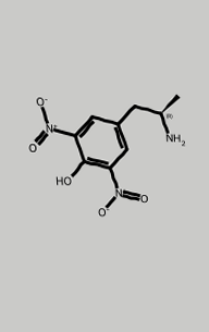 C[C@@H](N)Cc1cc([N+](=O)[O-])c(O)c([N+](=O)[O-])c1